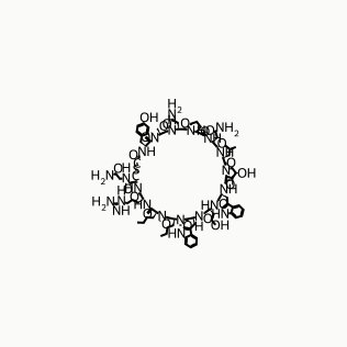 CCCC[C@H]1C(=O)N(C)[C@@H](CCCC)C(=O)N[C@@H](CCCNC(=N)N)C(=O)NC(C(=O)NCC(N)=O)CSCC(=O)N[C@@H](Cc2ccc(O)cc2)C(=O)N(C)[C@@H](C)C(=O)N[C@@H](CC(N)=O)C(=O)N2CCC[C@H]2C(=O)N[C@@H](CC(N)=O)C(=O)N[C@@H](CC(C)C)C(=O)N2C[C@H](O)C[C@H]2C(=O)N[C@@H](Cc2c[nH]c3ccccc23)C(=O)N[C@@H](CCO)C(=O)N[C@@H](Cc2c[nH]c3ccccc23)C(=O)N1C